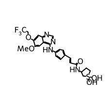 COc1cc2c(Nc3ccc(/C=C/C(=O)NC4CCS(O)(O)C4)cc3)ncnc2cc1OCC(F)(F)F